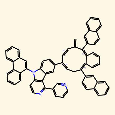 C=C1/C=C\C(c2ccc3c(c2)c2c(-c4cccnc4)nccc2n3-c2cc3ccccc3c3ccccc23)=C/C/C(c2ccc3ccccc3c2)=c2/cccc/c2=C/1c1ccc2ccccc2c1